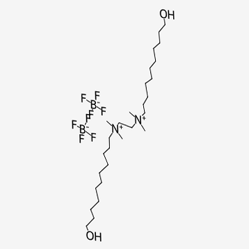 C[N+](C)(CCCCCCCCCCCO)CC[N+](C)(C)CCCCCCCCCCCO.F[B-](F)(F)F.F[B-](F)(F)F